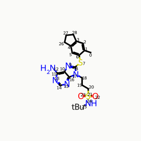 Cc1cc2c(cc1Sc1nc3c(N)ncnc3n1CCCS(=O)(=O)NC(C)(C)C)CCC2